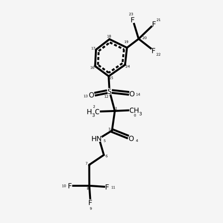 CC(C)(C(=O)NCCC(F)(F)F)S(=O)(=O)c1cccc(C(F)(F)F)c1